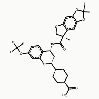 C[C@]1(C(=O)N[C@@H]2C[C@H]([C@H]3CC[C@H](C(=O)O)CC3)Oc3cc(OC(F)(F)F)ccc32)COc2cc3c(cc21)OC(F)(F)O3